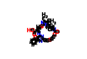 C=c1nc2n(c1=C)[C@H]1CCN(C[C@@H]1C)C(=O)OCCOCCc1nc(c3oc4ccccc4c3n1)N1C[C@H](C[C@H]1C(=O)O)O2